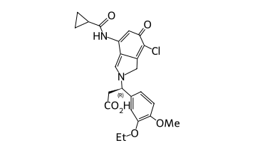 CCOc1cc([C@@H](CC(=O)O)N2C=C3C(NC(=O)C4CC4)=CC(=O)C(Cl)=C3C2)ccc1OC